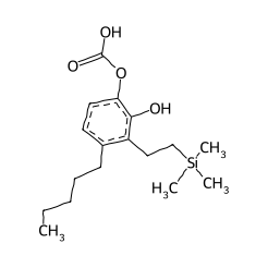 CCCCCc1ccc(OC(=O)O)c(O)c1CC[Si](C)(C)C